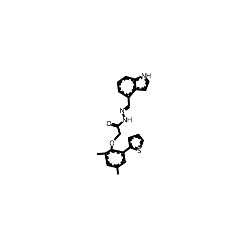 Cc1cc(C)c(OCC(=O)NN=Cc2cccc3[nH]ccc23)c(-c2cccs2)c1